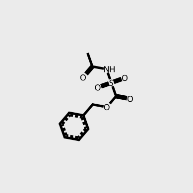 CC(=O)NS(=O)(=O)C(=O)OCc1ccccc1